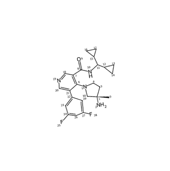 C[C@]1(N)CCN(c2c(C(=O)NC(C3CC3)C3CC3)cncc2-c2cc(F)cc(F)c2)C1